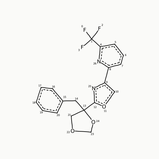 FC(F)(F)c1cccc(-c2coc(C3(Cc4ccccc4)COCO3)n2)n1